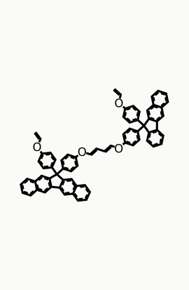 C=COc1ccc(C2(c3ccc(O/C=C/C=C/Oc4ccc(C5(c6ccc(OC=C)cc6)c6cc7ccccc7cc6-c6cc7ccccc7cc65)cc4)cc3)c3ccccc3-c3cc4ccccc4cc32)cc1